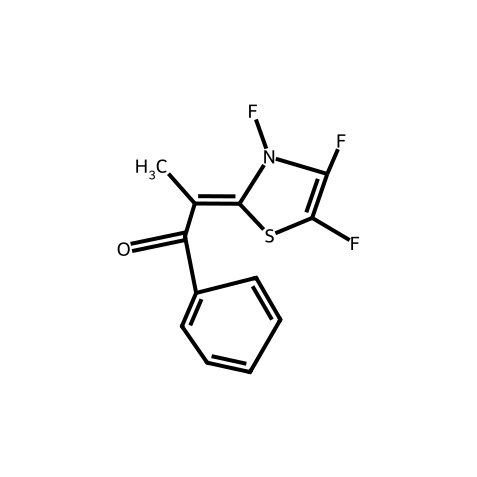 CC(C(=O)c1ccccc1)=C1SC(F)=C(F)N1F